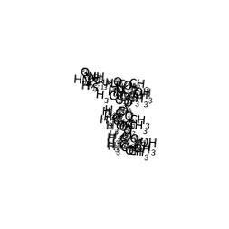 CC(=O)NC1(C)[C@](C)(OC(=O)CCCCC2SC[C@@H]3NC(=O)N[C@H]23)OC(C)(CO)[C@H](C)[C@@]1(C)COCC[C@@]1(C)OC(C)(C)[C@@](C)(COC[C@]2(C)OC(C)(CO)[C@@](C)(O)[C@@](C)(O)C2(C)C)[C@](C)(O)C1(C)O